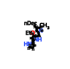 CCCCCCCCCCCC1=CC(=Cc2[nH]c(-c3ccc[nH]3)cc2OCC)N=C1C